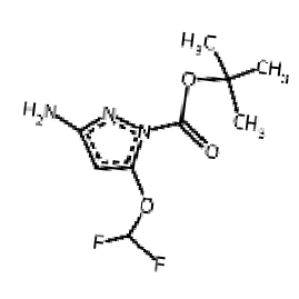 CC(C)(C)OC(=O)n1nc(N)cc1OC(F)F